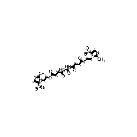 Cc1ncc([N+](=O)[O-])n1CCOC(=O)CCC(=O)NC(=O)NC(=O)CCC(=O)OCCn1c([N+](=O)[O-])cnc1C